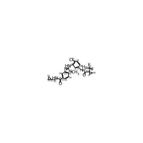 Cn1c(Nc2cc(CNC(=O)C3(C(F)(F)F)CC3)ccc2Cl)nc2cc(C(=O)NCC3CC3)ccc21